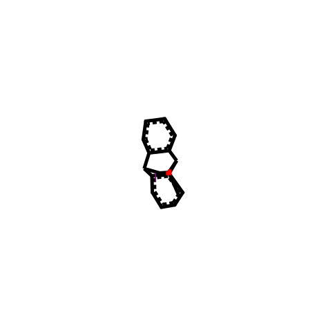 CC1=C(I)C2c3ccccc3C1c1ccccc12